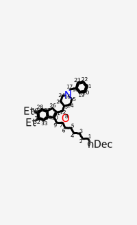 CCCCCCCCCCCCCCCCC(=O)CC1=C(CC2CCN(Cc3ccccc3)CC2)Cc2cc(CC)c(CC)cc21